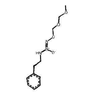 COCOCON=[N+]([O-])NCCc1ccccc1